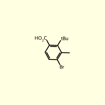 Cc1c(Br)ccc(C(=O)O)c1C(C)(C)C